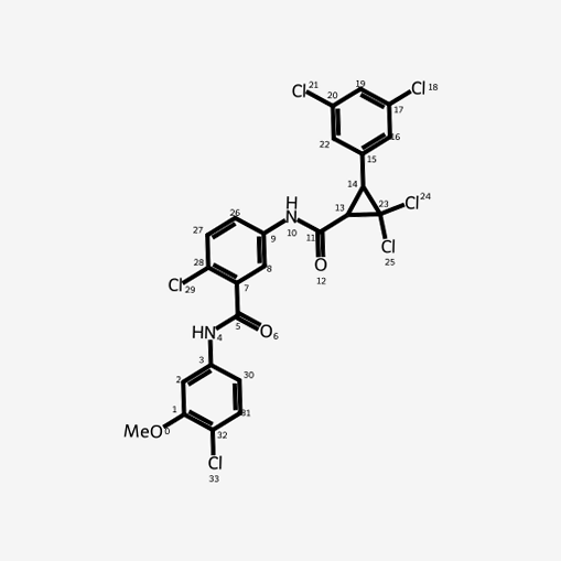 COc1cc(NC(=O)c2cc(NC(=O)C3C(c4cc(Cl)cc(Cl)c4)C3(Cl)Cl)ccc2Cl)ccc1Cl